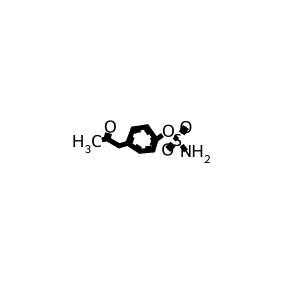 CC(=O)Cc1ccc(OS(N)(=O)=O)cc1